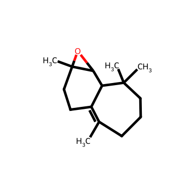 CC1=C2CCC3(C)OC3C2C(C)(C)CCC1